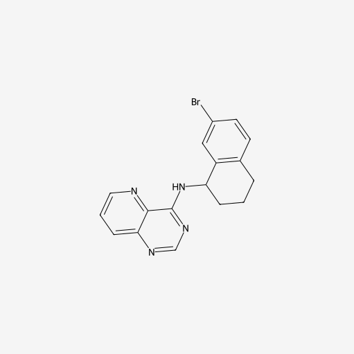 Brc1ccc2c(c1)C(Nc1ncnc3cccnc13)CCC2